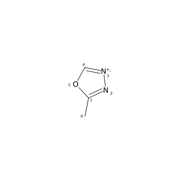 CC1=N[N+]=CO1